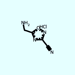 Cl.N#Cc1noc(CN)n1